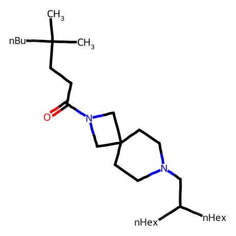 CCCCCCC(CCCCCC)CN1CCC2(CC1)CN(C(=O)CCC(C)(C)CCCC)C2